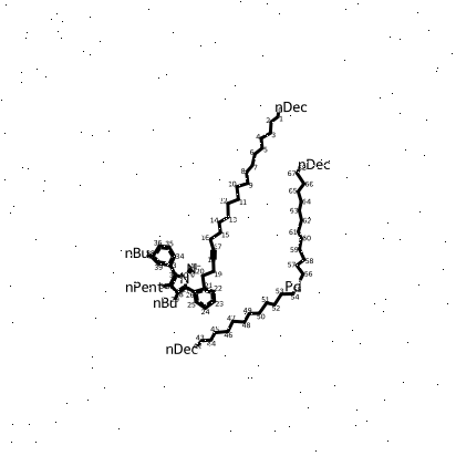 CCCCCCCCCCCCCCCCCCCCCCCCCCC#CCCc1ccccc1C1=C(CCCC)C(CCCCC)=C(c2cccc(CCCC)c2)[N+]1=[N-].CCCCCCCCCCCCCCCCCCCCC[CH2][Pd][CH2]CCCCCCCCCCCCCCCCCCCCC